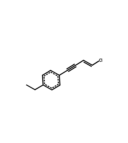 CCc1ccc(C#CC=CCl)cc1